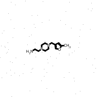 Cc1cc(CN2CCN(CCN)CC2)co1